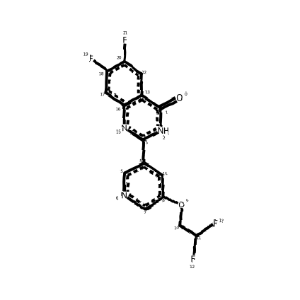 O=c1[nH]c(-c2cncc(OCC(F)F)c2)nc2cc(F)c(F)cc12